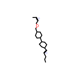 C/C=C\COCC1CCC(C2CCC(/C=C/CCC)CC2)CC1